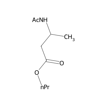 CCCOC(=O)CC(C)NC(C)=O